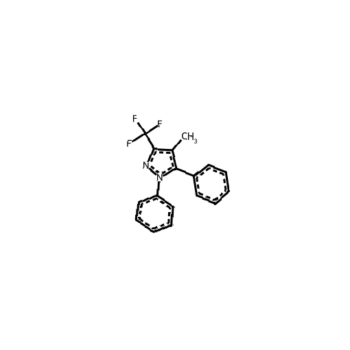 Cc1c(C(F)(F)F)nn(-c2ccccc2)c1-c1ccccc1